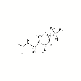 CC(C)NC(=O)c1ccc(C(F)(F)F)cc1F